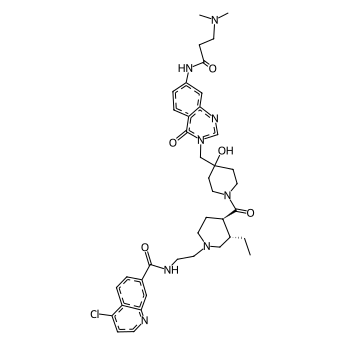 CC[C@@H]1CN(CCNC(=O)c2ccc3c(Cl)ccnc3c2)CC[C@H]1C(=O)N1CCC(O)(Cn2cnc3cc(NC(=O)CCN(C)C)ccc3c2=O)CC1